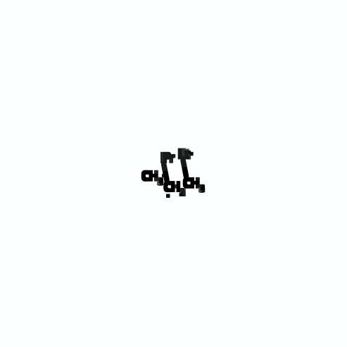 C[CH]C.[CH2]C(C)C.[CH3]